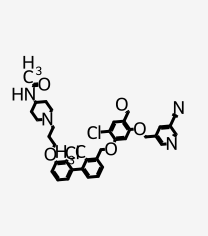 CC(=O)NC1CCN(CCCOc2cccc(-c3cccc(COc4cc(OCc5cncc(C#N)c5)c(C=O)cc4Cl)c3C)c2Cl)CC1